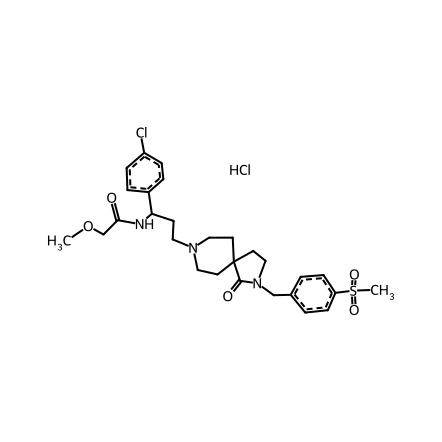 COCC(=O)NC(CCN1CCC2(CC1)CCN(Cc1ccc(S(C)(=O)=O)cc1)C2=O)c1ccc(Cl)cc1.Cl